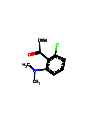 COC(=O)c1c(Cl)cccc1N(C)C